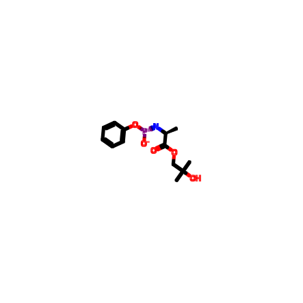 C[C@H](N=[P+]([O-])Oc1ccccc1)C(=O)OCC(C)(C)O